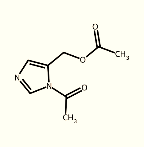 CC(=O)OCc1cncn1C(C)=O